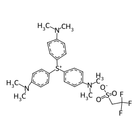 CN(C)c1ccc([S+](c2ccc(N(C)C)cc2)c2ccc(N(C)C)cc2)cc1.O=S(=O)([O-])CC(F)(F)F